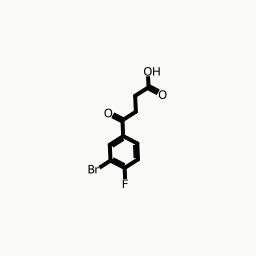 O=C(O)CCC(=O)c1ccc(F)c(Br)c1